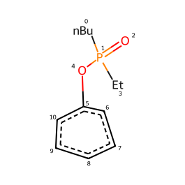 CCCCP(=O)(CC)Oc1ccccc1